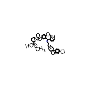 CCOC(O)[C@H]1CCCN(C(=O)Oc2ccc3c(c2)/C(=C/CCN2CCC(O)(c4ccc(Cl)cc4)CC2)c2cccnc2CO3)C1